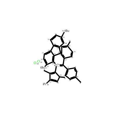 CC1=[C]([Zr+2](=[C](c2ccc(C)cc2)c2ccc(C)cc2)[c]2c(C(C)(C)C)ccc3c2Cc2cc(C(C)(C)C)ccc2-3)C(C)C=C1C(C)C.[Cl-].[Cl-]